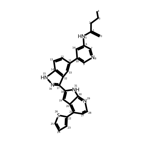 C=C(CCC)Nc1cncc(-c2ccc3[nH]nc(-c4cc5c(-c6cccs6)ccnc5[nH]4)c3c2)c1